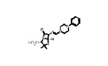 CC1(C)S[C@@H]2[C@H](N=CN3CCN(c4ccccc4)CC3)C(=O)N2[C@H]1C(=O)O